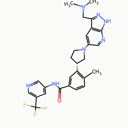 Cc1ccc(C(=O)Nc2cncc(C(F)(F)F)c2)cc1[C@@H]1CCN(c2cnc3[nH]nc(CN(C)C)c3c2)C1